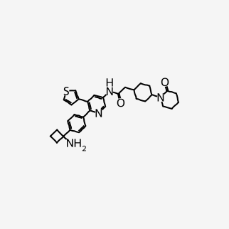 NC1(c2ccc(-c3ncc(NC(=O)CC4CCC(N5CCCCC5=O)CC4)cc3-c3ccsc3)cc2)CCC1